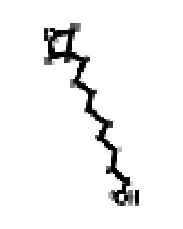 OCCCCCCCCCC1COC1